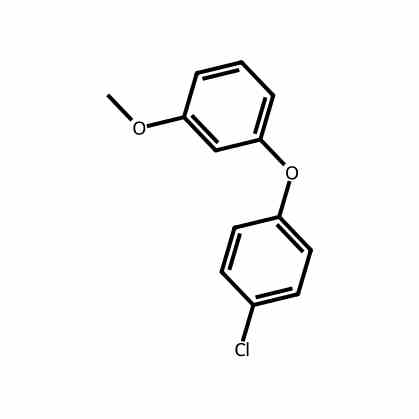 COc1cccc(Oc2ccc(Cl)cc2)c1